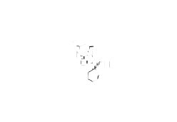 CC[N+](C)(CN1C(=O)CC(=S)NC1=O)c1ccccc1